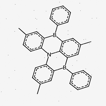 Cc1ccc2c(c1)B(c1ccccc1)c1cc(C)cc3c1N2c1ccc(C)cc1B3c1ccccc1